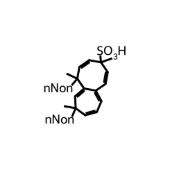 CCCCCCCCCC1(C)C=CC=C2/C=C\C(C)(S(=O)(=O)O)/C=C\C(C)(CCCCCCCCC)C2=C1